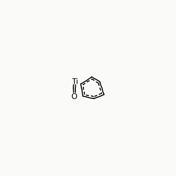 [O]=[Ti].c1ccccc1